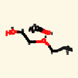 C=O.CCCCCOCCO